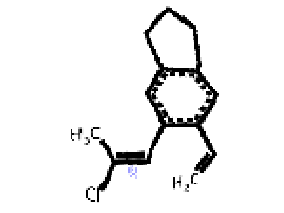 C=Cc1cc2c(cc1/C=C(\C)Cl)CCC2